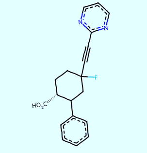 O=C(O)[C@@H]1CCC(F)(C#Cc2ncccn2)CC1c1ccccc1